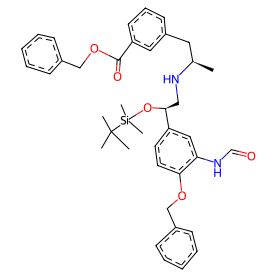 C[C@H](Cc1cccc(C(=O)OCc2ccccc2)c1)NC[C@H](O[Si](C)(C)C(C)(C)C)c1ccc(OCc2ccccc2)c(NC=O)c1